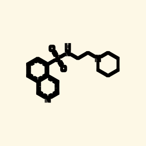 O=S(=O)(NCCN1CCCCC1)c1cccc2cnccc12